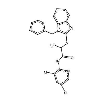 CC(Sc1nc2ccccc2n1Cc1ccccc1)C(=O)Nc1ncc(Cl)cc1Cl